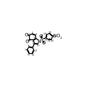 O=C1C=Cc2c(c(-c3ccccc3)cn2S(=O)(=O)c2ccc([N+](=O)[O-])cc2)C1=O